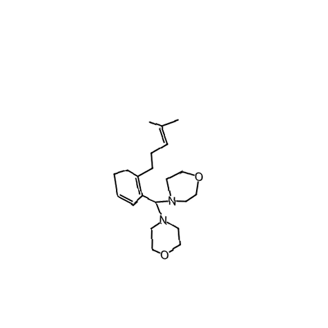 CC(C)=CCCC1=C(C(N2CCOCC2)N2CCOCC2)C=CCC1